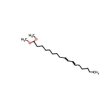 CCCCCC=CC=CCCCCCCCC(OC)OC